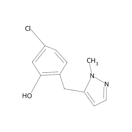 Cn1nccc1Cc1ccc(Cl)cc1O